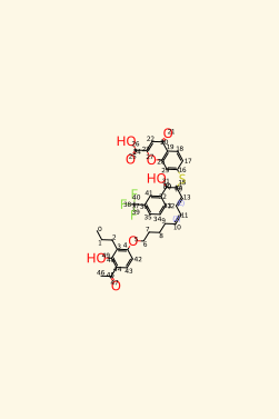 CCCc1c(OCCCC/C=C\C=C\[C@H](Sc2ccc3c(=O)cc(C(=O)O)oc3c2)[C@H](O)c2cccc(C(F)(F)F)c2)ccc(C(C)=O)c1O